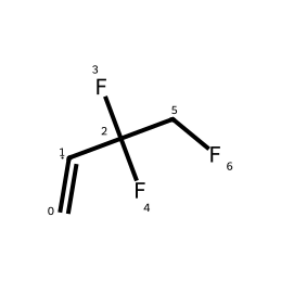 C=[C]C(F)(F)CF